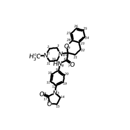 CN1CCN(C2(C(=O)Nc3ccc(N4CCOC4=O)cc3)CCc3ccccc3O2)CC1